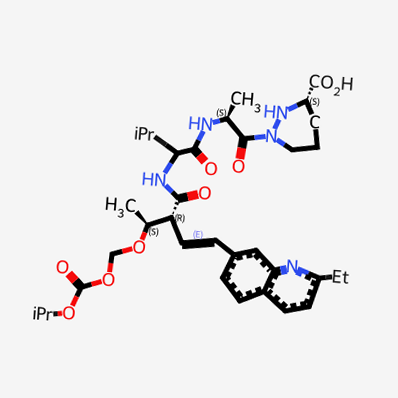 CCc1ccc2ccc(/C=C/[C@@H](C(=O)NC(C(=O)N[C@@H](C)C(=O)N3CCC[C@@H](C(=O)O)N3)C(C)C)[C@H](C)OCOC(=O)OC(C)C)cc2n1